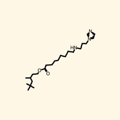 CC(CCOC(=O)CCCCCCCCNCCCn1ccnc1)CC(C)(C)C